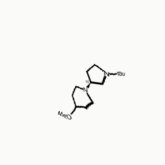 COC1CCN([C@H]2CCN(C(C)(C)C)C2)CC1